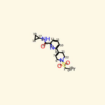 CC(C)CS(=O)(=O)N1CC=C(c2cccc(C(=O)NC3CC3)n2)CC1